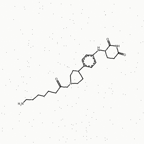 NCCCCCCC(=O)CN1CCC(c2ccc(NC3CCC(=O)NC3=O)cc2)CC1